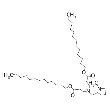 CCCCCCCCCCCCCOC(=O)CCN(CCC(=O)OCCCCCCCCCCCCC)CC1CCCN1C